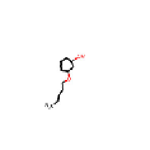 CCCCCO[C@H]1CCC[C@@H](O)C1